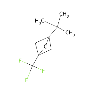 CC(C)(C)C12CC(C(F)(F)F)(C1)C2